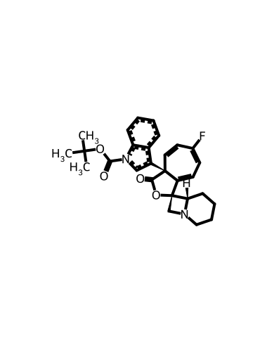 CC(C)(C)OC(=O)n1cc([C@@]23C=CC(F)=CC=C2[C@@]2(CN4CCCC[C@H]42)OC3=O)c2ccccc21